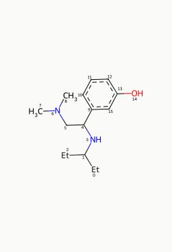 CCC(CC)NC(CN(C)C)c1cccc(O)c1